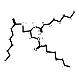 C=C(CCCCCCC)OCC(COC(=O)CCCCCCC)OC(=O)CCCCCCC